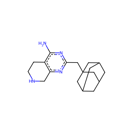 Nc1nc(CC23CC4CC(CC(C4)C2)C3)nc2c1CCNC2